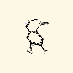 C=Nc1cc(C(C)C)c(O)cc1/C=C\C